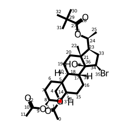 CC(=O)OC[C@]12CC[C@H](OC(C)=O)C[C@@H]1CC[C@@H]1[C@@H]2CC[C@]2(C)[C@@H]([C@H](C)OC(=O)C(C)(C)C)C[C@@H](Br)[C@]12O